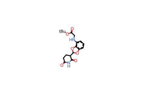 CC(C)(C)OC(=O)CNc1cccc2c1OC(C1CCC(=O)NC1=O)O2